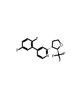 Fc1ccc(F)c(-c2ccnc([C@@H]3CCO[C@H]3C(F)(F)F)c2)c1